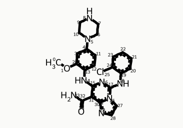 COc1cc(N2CCNCC2)ccc1Nc1nc(Nc2ccccc2Cl)n2ccnc2c1C(N)=O